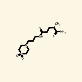 C[C@@H](C[CH]C(=O)NCCCN1CCS(=O)(=O)CC1)C(N)=O